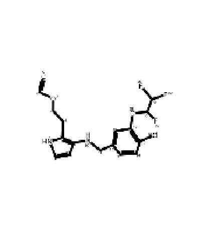 O=COCCc1[nH]ccc1NCc1ccc(Cl)c(OC(F)C(F)F)c1